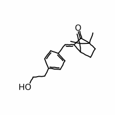 CC12CCC(C(=Cc3ccc(CCO)cc3)C1=O)C2(C)C